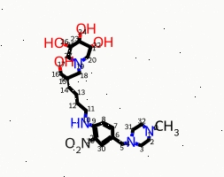 CN1CCN(Cc2ccc(NCCCC[C@@H](CO)CN3CC(O)C(O)C(O)C3)c([N+](=O)[O-])c2)CC1